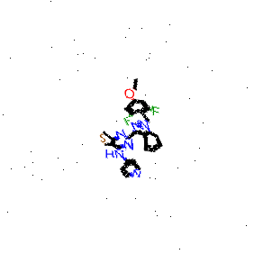 CCOc1cc(F)c(Cn2nc(-c3nc4c(c(Nc5ccncc5)n3)CSC4)c3ccccc32)c(F)c1